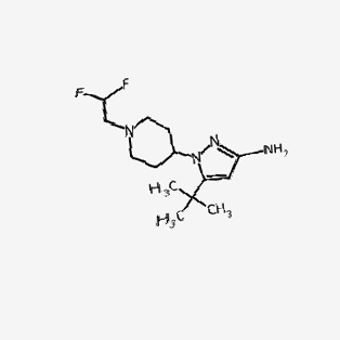 CC(C)(C)c1cc(N)nn1C1CCN(CC(F)F)CC1